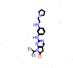 CCC(CC)N1C(=O)Cc2cnc(Nc3cccc(NCCN4CCCC4)c3)nc21